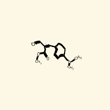 COC(=O)/C(C=O)=C\c1ccc(N(C)C)cc1